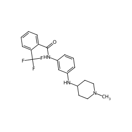 CN1CCC(Nc2cccc(NC(=O)c3ccccc3C(F)(F)F)c2)CC1